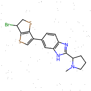 CN1CCCC1c1nc2ccc(-c3csc4c3SCC4Br)cc2[nH]1